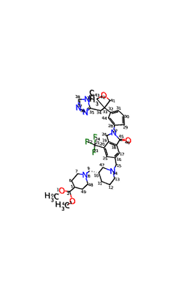 COC(OC)C1CCN(C[C@H]2CCCN(Cc3cc4c(c(C(F)(F)F)c3)CN(c3cccc(C5(Cc6nncn6C)COC5)c3)C4=O)C2)CC1